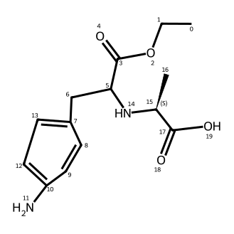 CCOC(=O)C(Cc1ccc(N)cc1)N[C@@H](C)C(=O)O